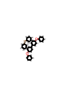 c1ccc(Oc2ccc(-c3ccc(Oc4ccccc4)cc3)cc2)cc1.c1ccc(Sc2ccccc2)cc1